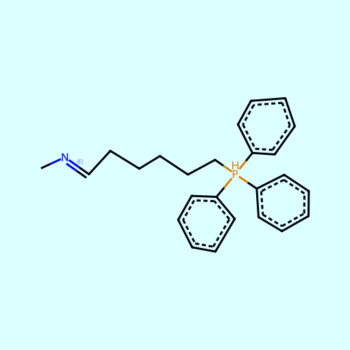 C/N=C/CCCCC[PH](c1ccccc1)(c1ccccc1)c1ccccc1